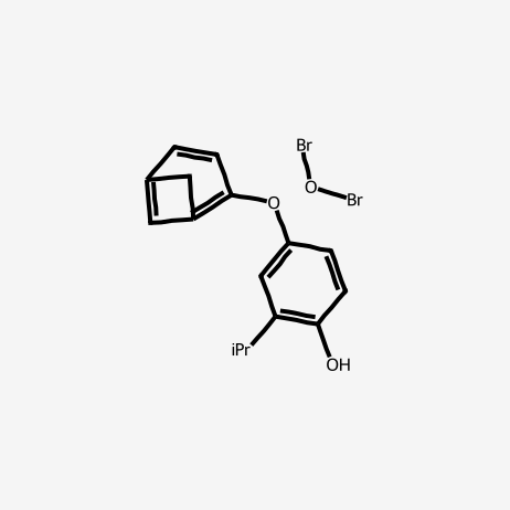 BrOBr.CC(C)c1cc(Oc2ccc3cc2C3)ccc1O